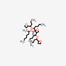 CCCCCC(C)O[SiH2]C1(C(CCCC)OC(CCC)C2CCO2)OCC1C(CCCC)OC(CCC)C1CCO1